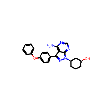 Nc1ncnc2c1c(-c1ccc(Oc3ccccc3)cc1)nn2[C@@H]1CCC[C@H](O)C1